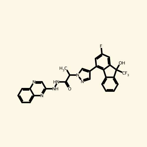 CC(C(=O)NNc1cnc2ccccc2n1)n1cc(-c2cc(F)cc3c2-c2ccccc2C3(O)C(F)(F)F)cn1